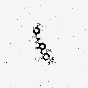 CCS(=O)(=O)N1C[C@@H](C)N(Cc2cccc(NC(=O)Nc3ccc(C)nc3)c2F)[C@@H](C)C1